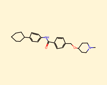 CN1CCC(OCc2ccc(C(=O)Nc3ccc(C4CCCCC4)cc3)cc2)CC1